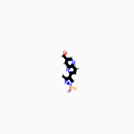 Cc1nn(PI)cc1-c1ccc2ncc(C=O)cc2n1